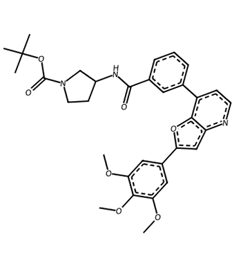 COc1cc(-c2cc3nccc(-c4cccc(C(=O)NC5CCN(C(=O)OC(C)(C)C)C5)c4)c3o2)cc(OC)c1OC